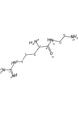 N=C(N)NCCCC(N)C(=O)NCCN